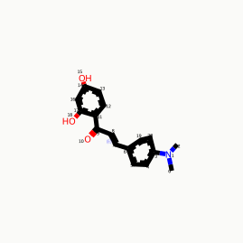 CN(C)c1ccc(/C=C/C(=O)c2ccc(O)cc2O)cc1